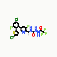 C[C@@H](NC(=O)NNC(=O)C(F)(F)F)c1ncc(-c2cc(Cl)cc(F)c2-c2ccc(Cl)s2)cc1F